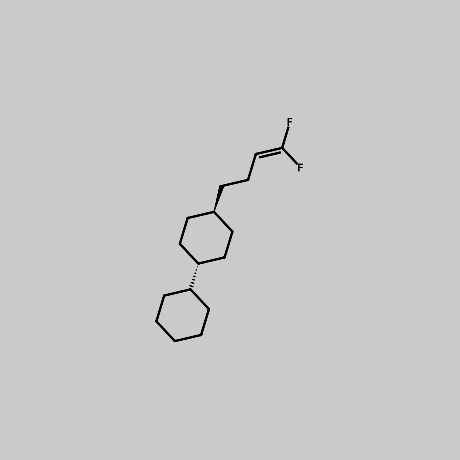 FC(F)=CCC[C@H]1CC[C@H](C2CCCCC2)CC1